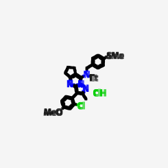 CCN(Cc1ccc(SC)cc1)c1c2c(nc3c(-c4ccc(OC)cc4Cl)c(C)nn13)CCC2.Cl